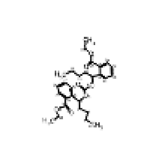 CCCCC(OC(=O)OC(CCCC)c1ccccc1C(=O)OCC)c1ccccc1C(=O)OCC